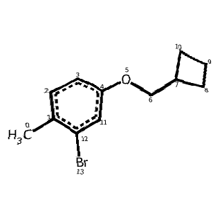 Cc1ccc(OCC2CCC2)cc1Br